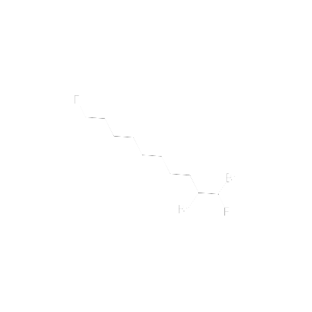 FCCCCCCCCC(Br)C(F)Br